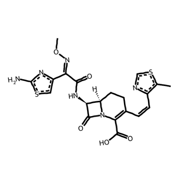 CO/N=C(/C(=O)N[C@@H]1C(=O)N2C(C(=O)O)=C(/C=C\c3ncsc3C)CC[C@H]12)c1csc(N)n1